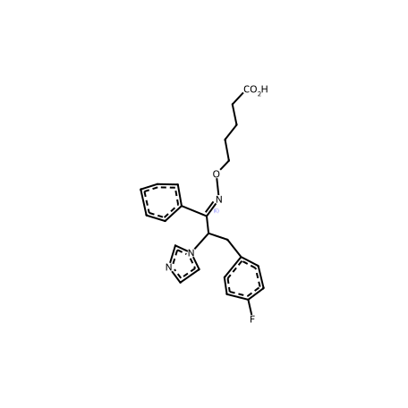 O=C(O)CCCCO/N=C(\c1ccccc1)C(Cc1ccc(F)cc1)n1ccnc1